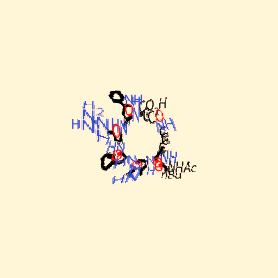 CCCC[C@H](NC(C)=O)C(=O)N[C@H]1CCCNC(=O)CCC(C(=O)O)NC(=O)[C@H](Cc2c[nH]c3ccccc23)NC(=O)[C@H](CCCNC(=N)N)NC(=O)C(Cc2ccccc2)NC(=O)[C@H](Cc2c[nH]cn2)NC1=O